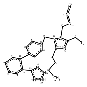 CCCCc1nc(CI)c(CN=[N+]=[N-])n1Cc1ccc(-c2ccccc2-c2nn[nH]n2)cc1